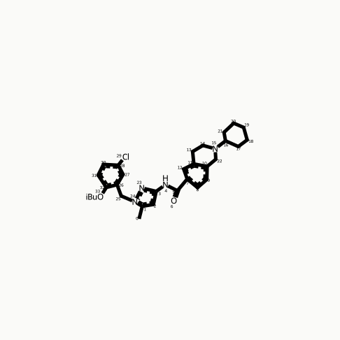 Cc1cc(NC(=O)c2ccc3c(c2)CCN(C2CCCCC2)C3)nn1Cc1cc(Cl)ccc1OCC(C)C